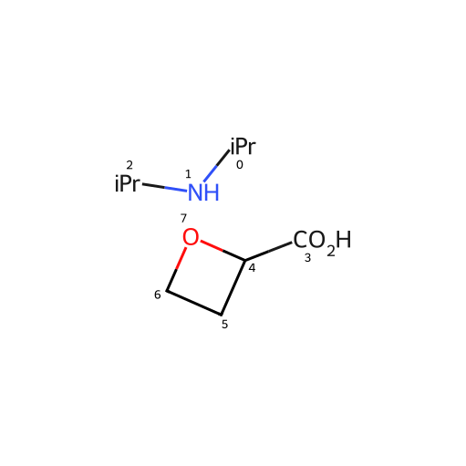 CC(C)NC(C)C.O=C(O)C1CCO1